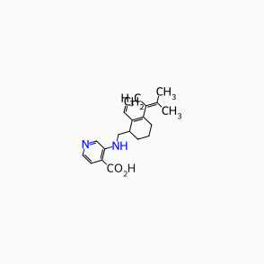 C=CC1=C(C(C)=C(C)C)CCCC1CNc1cnccc1C(=O)O